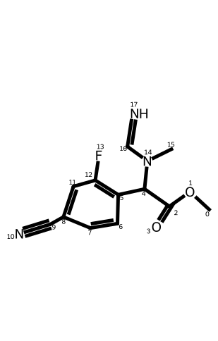 COC(=O)C(c1ccc(C#N)cc1F)N(C)C=N